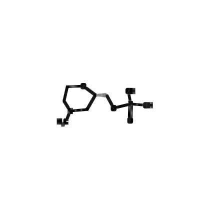 CN1CCO[C@H](COP(=O)(O)O)C1